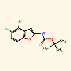 CC(C)(C)OC(=O)Nc1cc2c(Br)c(F)ccc2o1